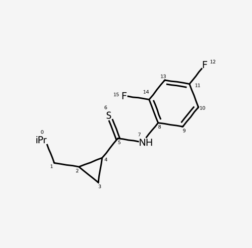 CC(C)CC1CC1C(=S)Nc1ccc(F)cc1F